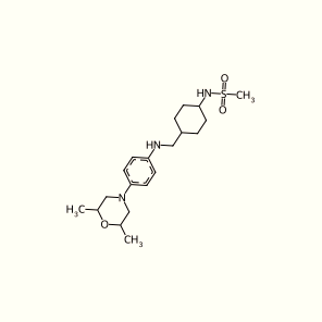 CC1CN(c2ccc(NCC3CCC(NS(C)(=O)=O)CC3)cc2)CC(C)O1